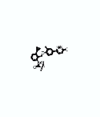 Cc1cc(-c2ccc(Cl)nn2)ccc1OCc1c(C2CC2)cccc1-n1nnn(C)c1=O